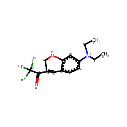 CCN(CC)c1ccc2c(c1)OCC(C(=O)C(F)(F)F)=C2